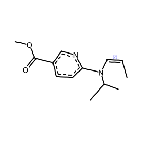 C/C=C\N(c1ccc(C(=O)OC)cn1)C(C)C